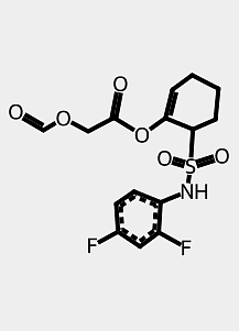 O=COCC(=O)OC1=CCCCC1S(=O)(=O)Nc1ccc(F)cc1F